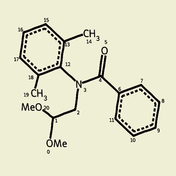 COC(CN(C(=O)c1ccccc1)c1c(C)cccc1C)OC